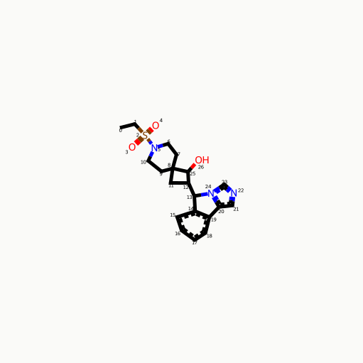 CCS(=O)(=O)N1CCC2(CC1)CC(C1c3ccccc3-c3cncn31)C2O